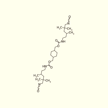 CC(CCNC(=O)OCC1CCC(COC(=O)NCCC(C)CC(C)(C)CN=C=O)CC1)CC(C)(C)CN=C=O